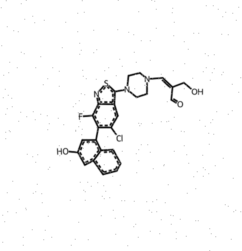 O=CC(=CN1CCN(c2snc3c(F)c(-c4cc(O)cc5ccccc45)c(Cl)cc23)CC1)CO